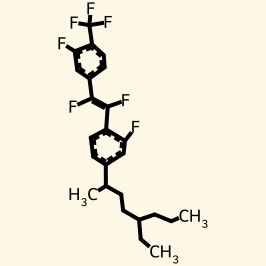 CCCC(CC)CCC(C)c1ccc(/C(F)=C(\F)c2ccc(C(F)(F)F)c(F)c2)c(F)c1